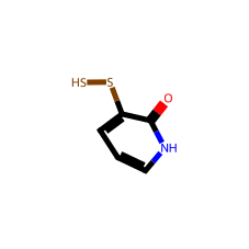 O=c1[nH]cccc1SS